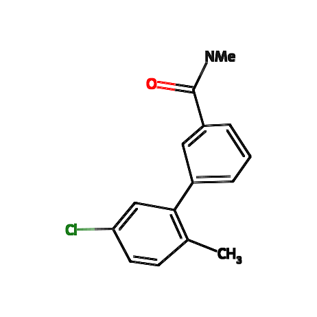 CNC(=O)c1cccc(-c2cc(Cl)ccc2C)c1